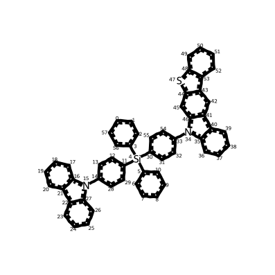 c1ccc([Si](c2ccccc2)(c2ccc(-n3c4ccccc4c4ccccc43)cc2)c2ccc(-n3c4ccccc4c4cc5c(cc43)sc3ccccc35)cc2)cc1